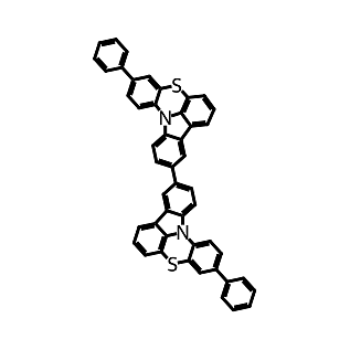 c1ccc(-c2ccc3c(c2)Sc2cccc4c5cc(-c6ccc7c(c6)c6cccc8c6n7-c6ccc(-c7ccccc7)cc6S8)ccc5n-3c24)cc1